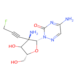 Nc1cnn([C@@H]2O[C@H](CO)C(O)[C@]2(N)C#CCF)c(=O)n1